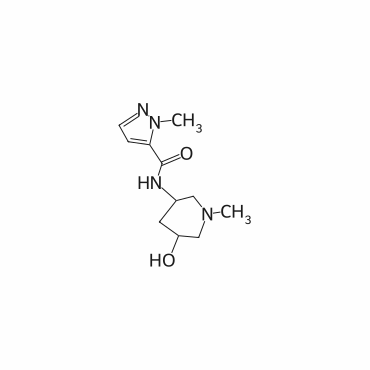 CN1CC(O)CC(NC(=O)c2ccnn2C)C1